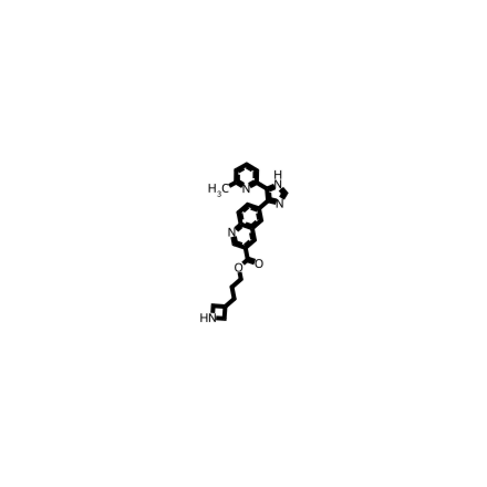 Cc1cccc(-c2[nH]cnc2-c2ccc3ncc(C(=O)OCCCC4CNC4)cc3c2)n1